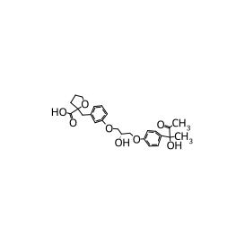 CC(=O)C(C)(O)c1ccc(OC[C@H](O)COc2cccc(CC3(C(=O)O)CCCO3)c2)cc1